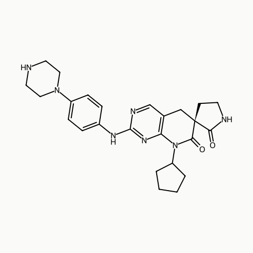 O=C1NCC[C@@]12Cc1cnc(Nc3ccc(N4CCNCC4)cc3)nc1N(C1CCCC1)C2=O